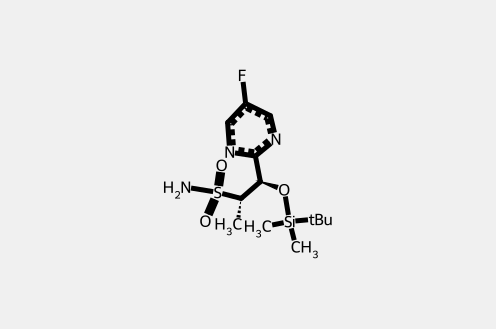 C[C@@H]([C@H](O[Si](C)(C)C(C)(C)C)c1ncc(F)cn1)S(N)(=O)=O